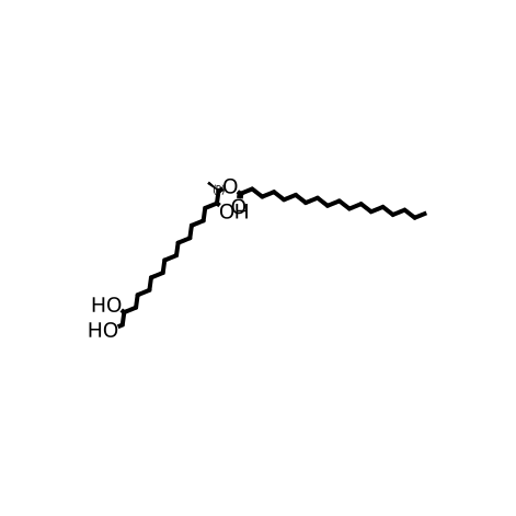 CCCCCCCCCCCCCCCCCC(=O)O[C@H](C)C(O)CCCCCCCCCCCCC(O)CO